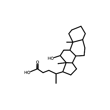 CC(CCC(=O)O)C1CCC2C3CCC4CCCCC4(C)C3CC(O)C12C